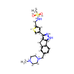 CN1CCN(Cc2ccc3c(c2)Cc2c(-c4csc(CNS(C)(=O)=O)c4)n[nH]c2-3)CC1